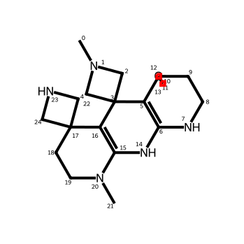 CN1CC2(C1)C1=C(NCCC13COC3)NC1=C2C2(CCN1C)CNC2